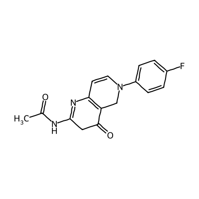 CC(=O)NC1=NC2=C(CN(c3ccc(F)cc3)C=C2)C(=O)C1